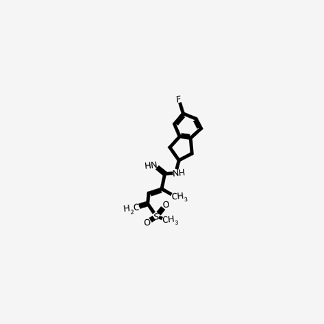 C=C(/C=C(\C)C(=N)NC1Cc2ccc(F)cc2C1)S(C)(=O)=O